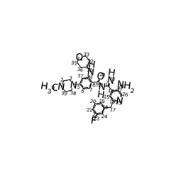 CN1CCN(c2ccc(C(=O)NC(=N)c3cc(Cc4cccc(F)c4)ncc3N)c(NC3CCOCC3)c2)CC1